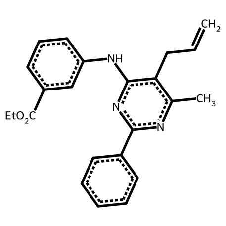 C=CCc1c(C)nc(-c2ccccc2)nc1Nc1cccc(C(=O)OCC)c1